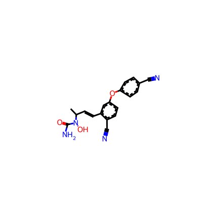 CC(C=Cc1cc(Oc2ccc(C#N)cc2)ccc1C#N)N(O)C(N)=O